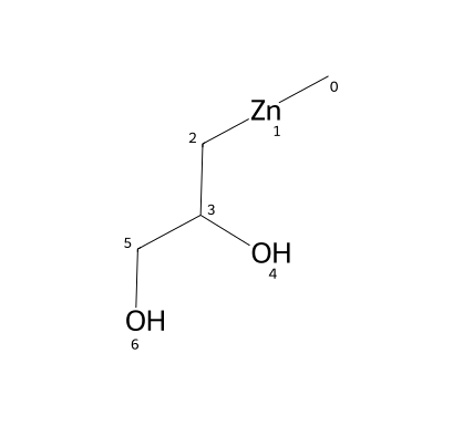 [CH3][Zn][CH2]C(O)CO